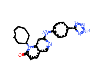 O=c1ccc2cnc(Nc3ccc(-c4nn[nH]n4)cc3)cc2n1C1CCCCCC1